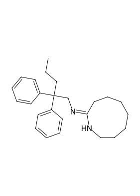 CCCC(CN=C1CCCCCCCN1)(c1ccccc1)c1ccccc1